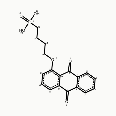 O=C1c2ccccc2C(=O)c2c(OCCCCP(=O)(O)O)cccc21